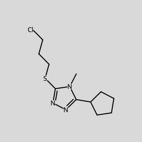 Cn1c(SCCCCl)nnc1C1CCCC1